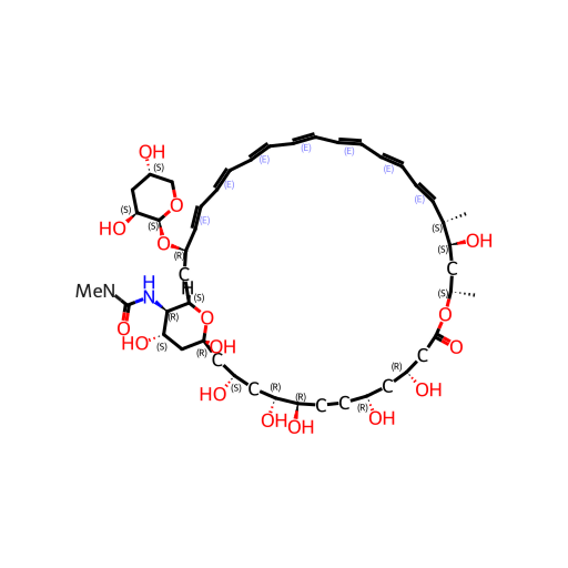 CNC(=O)N[C@H]1[C@@H]2C[C@@H](O[C@@H]3OC[C@@H](O)C[C@@H]3O)/C=C/C=C/C=C/C=C/C=C/C=C/C=C/[C@H](C)[C@@H](O)C[C@H](C)OC(=O)C[C@H](O)C[C@H](O)CC[C@@H](O)[C@H](O)C[C@H](O)C[C@](O)(C[C@@H]1O)O2